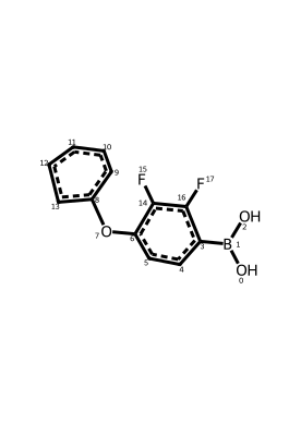 OB(O)c1ccc(Oc2ccccc2)c(F)c1F